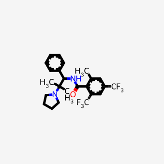 Cc1cc(C(F)(F)F)cc(C(F)(F)F)c1C(=O)NC(c1ccccc1)C(C)(C)N1CCCC1